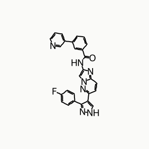 O=C(Nc1cn2nc(-c3c[nH]nc3-c3ccc(F)cc3)ccc2n1)c1cccc(-c2cccnc2)c1